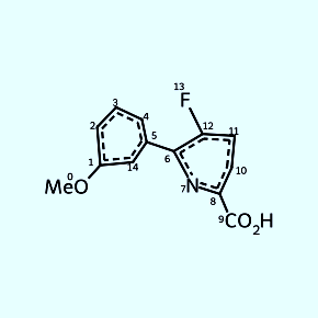 COc1cccc(-c2nc(C(=O)O)ccc2F)c1